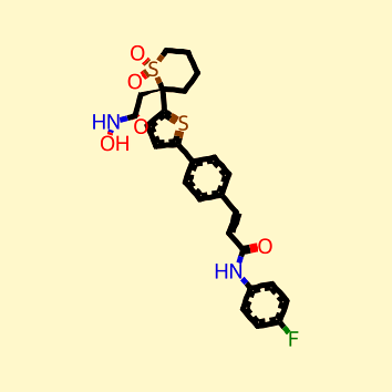 O=C(/C=C/c1ccc(-c2ccc([C@@]3(CC(=O)NO)CCCCS3(=O)=O)s2)cc1)Nc1ccc(F)cc1